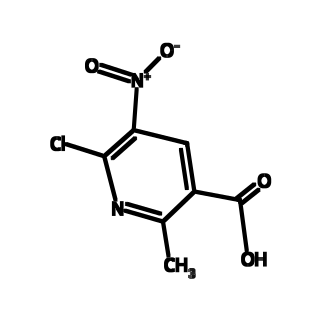 Cc1nc(Cl)c([N+](=O)[O-])cc1C(=O)O